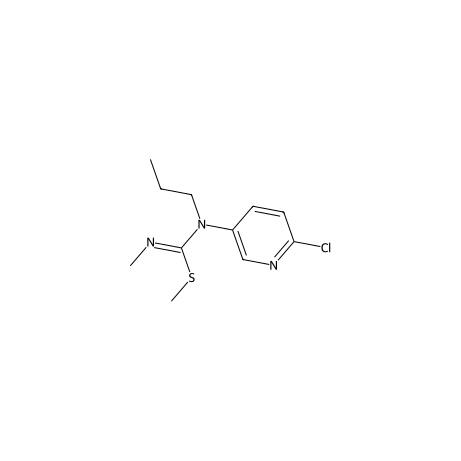 CCCN(/C(=N/C)SC)c1ccc(Cl)nc1